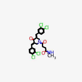 CNC(=O)CCC(=O)N1C/C(=C\c2ccc(Cl)c(Cl)c2)C(=O)/C(=C/c2ccc(Cl)c(Cl)c2)C1